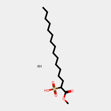 CCCCCCCCCCCCCCC(C(=O)OC)S(=O)(=O)O.[KH]